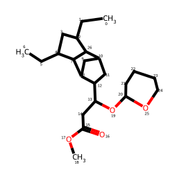 CCC1CC(CC)C2C3CC(CC3C(CC(=O)OC)OC3CCCCO3)C12